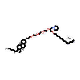 CCCCC/C=C\C/C=C\CCCCCCCCOCC(CN1CC=CCC1)OCCOCCOCCOCCC[C@H]1CC[C@@]2(C)C(=CC[C@H]3[C@@H]4CC[C@H]([C@H](C)CCCC(C)C)[C@@]4(C)CC[C@@H]32)C1